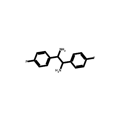 NC(c1ccc(F)cc1)C(N)c1ccc(F)cc1